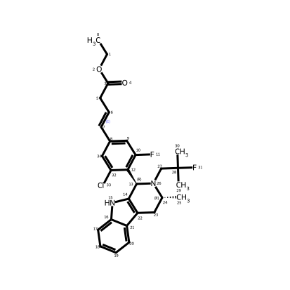 CCOC(=O)C/C=C/c1cc(F)c([C@@H]2c3[nH]c4ccccc4c3C[C@@H](C)N2CC(C)(C)F)c(Cl)c1